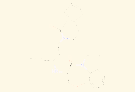 CCOC(=O)C(CCN1CCc2ccccc2C1=O)N[C@H]1COc2ccccc2N(CC(=O)O)C1=O